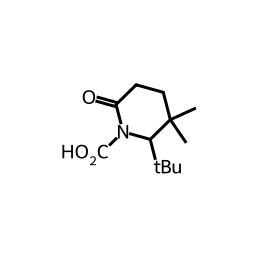 CC(C)(C)C1N(C(=O)O)C(=O)CCC1(C)C